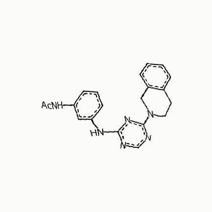 CC(=O)Nc1cccc(Nc2ncnc(N3CCc4ccccc4C3)n2)c1